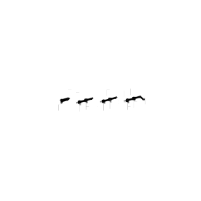 FC(F)=C(F)OC(F)(F)C(F)(F)COC(F)(F)C(F)(F)COC(F)(F)C(F)(F)CI